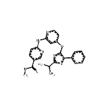 CNC(=O)c1ccc(Nc2cc(Oc3sc(C(C)C)nc3-c3ccccc3)ccn2)nc1